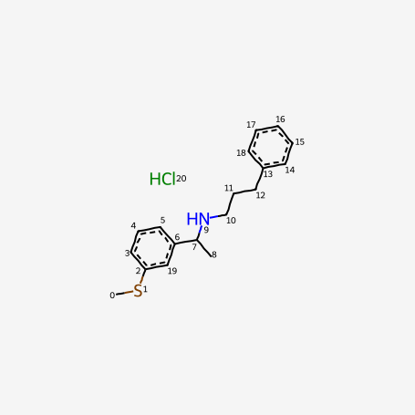 CSc1cccc(C(C)NCCCc2ccccc2)c1.Cl